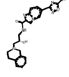 CC(C)c1nc(-c2ccc3nc(C(=O)NC[C@H](O)CN4CCc5ccccc5C4)cn3c2)no1